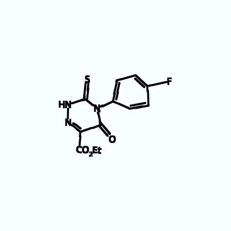 CCOC(=O)c1n[nH]c(=S)n(-c2ccc(F)cc2)c1=O